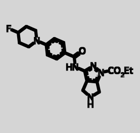 CCOC(=O)n1nc(NC(=O)c2ccc(N3CCC(F)CC3)cc2)c2c1CNC2